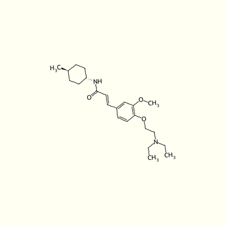 CCN(CC)CCOc1ccc(C=CC(=O)N[C@H]2CC[C@H](C)CC2)cc1OC